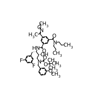 CCCN(CCC)C(=O)c1cc(C(=O)N[C@@H](Cc2cc(F)cc(F)c2)[C@H](O)CN(Cc2cccc(OC)c2)C(=O)OC(C)(C)C)cc(/C(C)=N/OC)c1